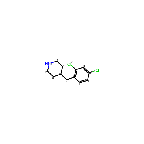 Clc1ccc(CC2CCNCC2)c(Cl)c1